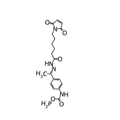 C/C(=N\NC(=O)CCCCCN1C(=O)C=CC1=O)c1ccc(NC(=O)OP)cc1